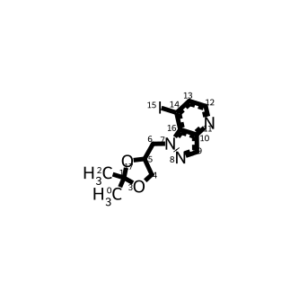 CC1(C)OCC(Cn2ncc3nccc(I)c32)O1